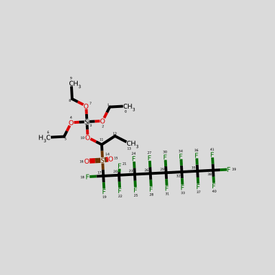 CCO[Si](OCC)(OCC)OC(CC)S(=O)(=O)C(F)(F)C(F)(F)C(F)(F)C(F)(F)C(F)(F)C(F)(F)C(F)(F)C(F)(F)F